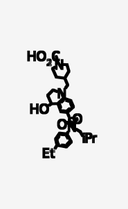 CCc1ccc(N(CC(C)C)S(=O)(=O)c2ccc3c(c2)C(O)CCN3CC2CCN(C(=O)O)CC2)cc1